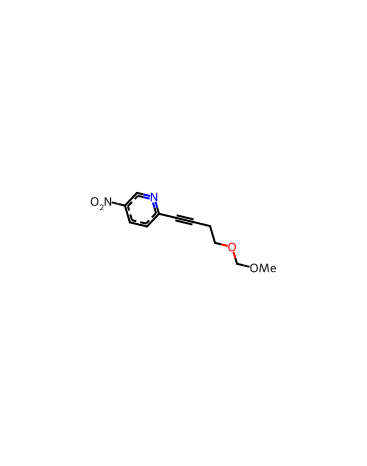 COCOCCC#Cc1ccc([N+](=O)[O-])cn1